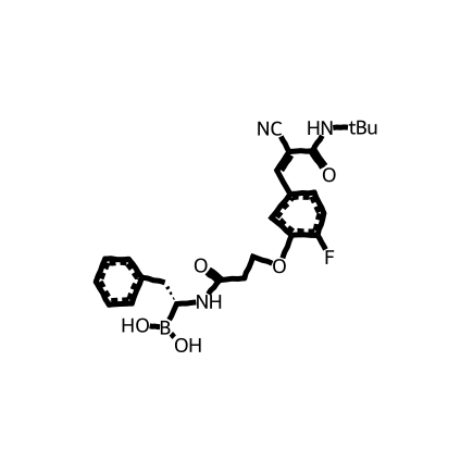 CC(C)(C)NC(=O)C(C#N)=Cc1ccc(F)c(OCCC(=O)N[C@@H](Cc2ccccc2)B(O)O)c1